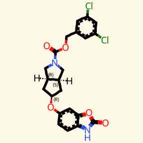 O=C(OCc1cc(Cl)cc(Cl)c1)N1C[C@H]2C[C@@H](Oc3ccc4[nH]c(=O)oc4c3)C[C@H]2C1